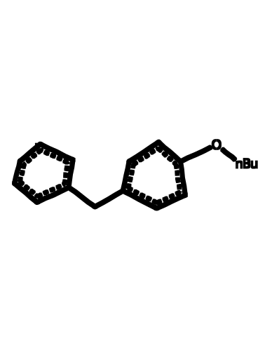 CCCCOc1ccc(Cc2c[c]ccc2)cc1